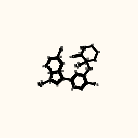 Nn1cc(-c2ncc(F)c(N[C@@]3(N)CCCNC3=O)n2)c2cc(Cl)cnc21